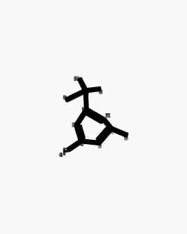 Cc1cc(F)cc(C(C)(C)C)c1